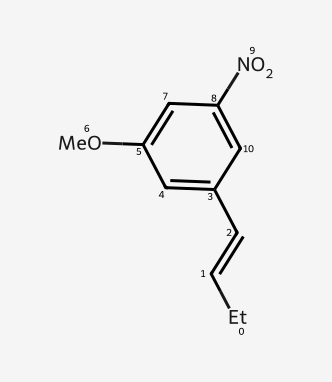 CCC=Cc1cc(OC)cc([N+](=O)[O-])c1